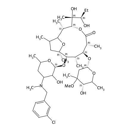 CC[C@@H](O)[C@@](C)(O)[C@@H]1OC(=O)[C@H](C)[C@@H](O[C@H]2CC(C)(OC)[C@@H](O)C(C)O2)[C@H](C)[C@@H](O[C@@H]2OC(C)CC(N(C)Cc3cccc(Cl)c3)C2O)[C@@]2(C)CC(C)C(O2)[C@@H]1C